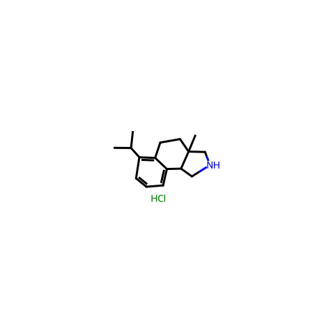 CC(C)c1cccc2c1CCC1(C)CNCC21.Cl